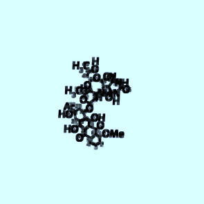 COc1cccc2c1C(=O)c1c(O)c3c(c(O)c1C2=O)C[C@@](O)(C(C)=O)C[C@H]3O[C@@H]1C[C@@H]2N[C@@H](C3C(=O)NC(=O)NC3=O)[C@@H](C)O[C@@H](C[C@H](C)O)O[C@@H]2[C@@H](C)O1